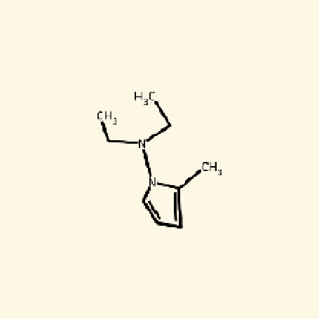 CCN(CC)n1cccc1C